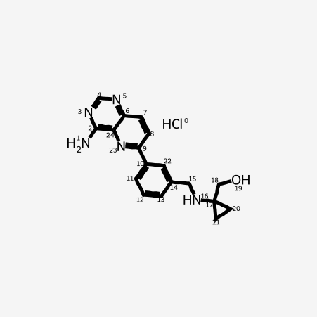 Cl.Nc1ncnc2ccc(-c3cccc(CNC4(CO)CC4)c3)nc12